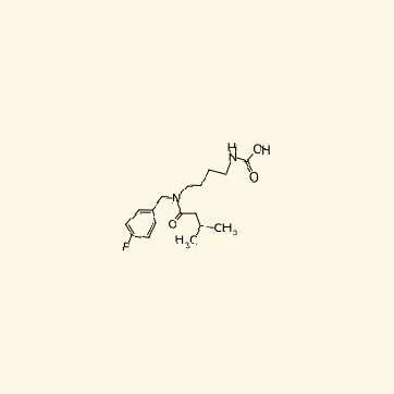 CC(C)CC(=O)N(CCCCNC(=O)O)Cc1ccc(F)cc1